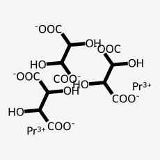 O=C([O-])C(O)C(O)C(=O)[O-].O=C([O-])C(O)C(O)C(=O)[O-].O=C([O-])C(O)C(O)C(=O)[O-].[Pr+3].[Pr+3]